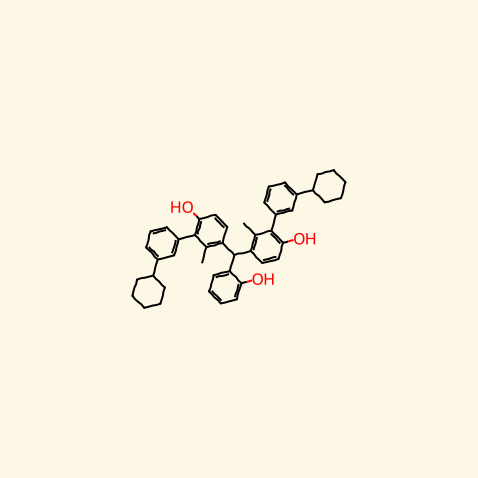 Cc1c(C(c2ccccc2O)c2ccc(O)c(-c3cccc(C4CCCCC4)c3)c2C)ccc(O)c1-c1cccc(C2CCCCC2)c1